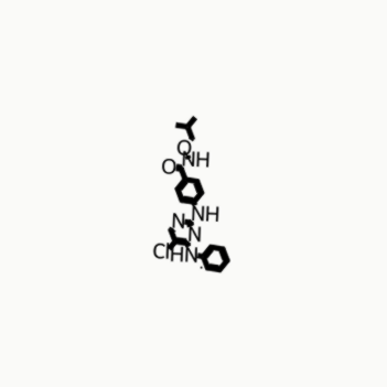 CC(C)CONC(=O)c1ccc(Nc2ncc(Cl)c(Nc3[c]cccc3)n2)cc1